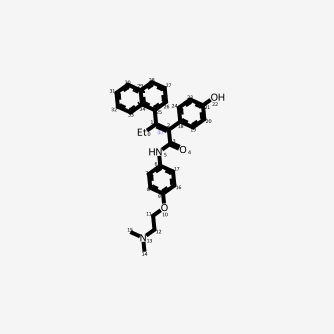 CC/C(=C(\C(=O)Nc1ccc(OCCN(C)C)cc1)c1ccc(O)cc1)c1cccc2ccccc12